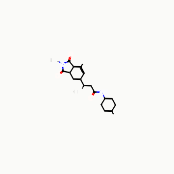 CCC(C)N1C(=O)C2CC(C(C=O)CC(=O)NC3CCC(C)CC3)C=C(C)C2C1=O